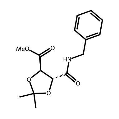 COC(=O)[C@@H]1OC(C)(C)O[C@H]1C(=O)NCc1ccccc1